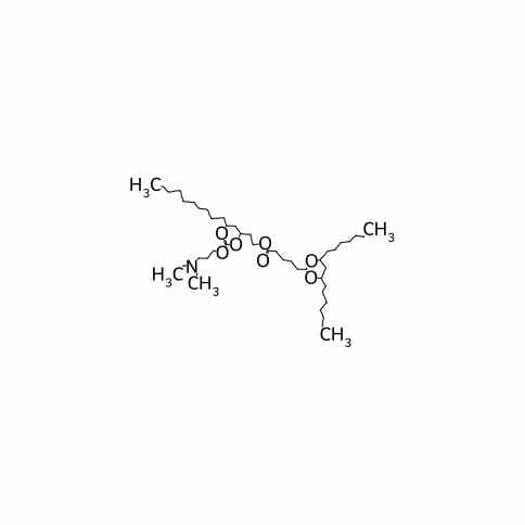 CCCCCCCCCCCCC(CCOC(=O)CCCCC1OC(CCCCCCC)CC(CCCCCCC)O1)OC(=O)OCCCN(CC)CC